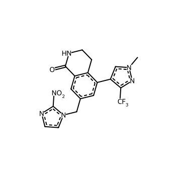 Cn1cc(-c2cc(Cn3ccnc3[N+](=O)[O-])cc3c2CCNC3=O)c(C(F)(F)F)n1